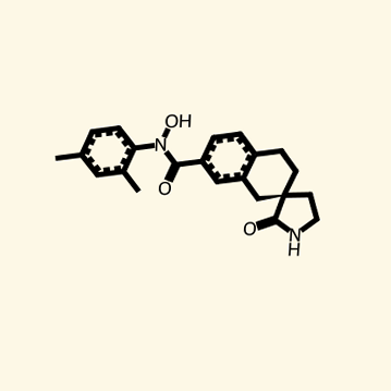 Cc1ccc(N(O)C(=O)c2ccc3c(c2)C[C@]2(CCNC2=O)CC3)c(C)c1